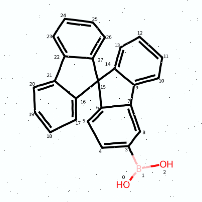 OB(O)c1ccc2c(c1)-c1ccccc1C21c2ccccc2-c2ccccc21